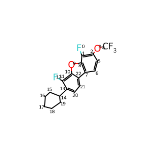 Fc1c(OC(F)(F)F)ccc2c1oc1c(F)c(C3CCCCC3)ccc12